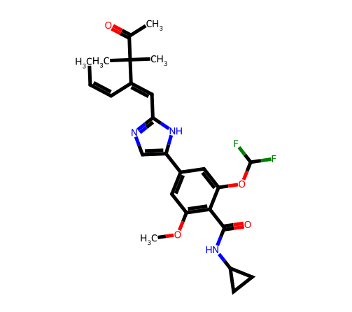 C/C=C\C(=C/c1ncc(-c2cc(OC)c(C(=O)NC3CC3)c(OC(F)F)c2)[nH]1)C(C)(C)C(C)=O